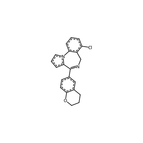 Clc1cccc2c1CN=C(c1ccc3c(c1)CCCO3)c1cccn1-2